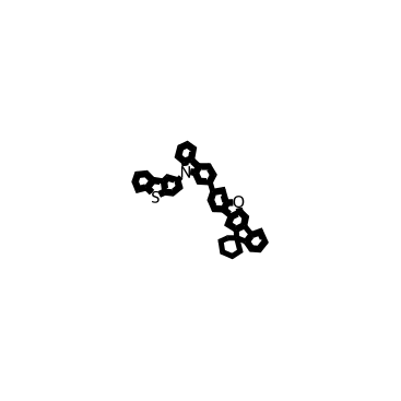 c1ccc2c(c1)-c1cc3oc4cc(-c5ccc6c7ccccc7n(-c7ccc8sc9ccccc9c8c7)c6c5)ccc4c3cc1C21CCCCC1